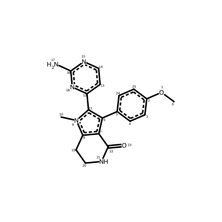 COc1ccc(-c2c3c(n(C)c2-c2ccnc(N)n2)CCNC3=O)cc1